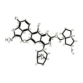 Cc1c(N)sc2c(F)ccc(-c3c(Cl)cc4c(N5CC6CCC(C5)N6)nc(OC[C@@]56CCCN5C[C@H](F)C6)nc4c3F)c12